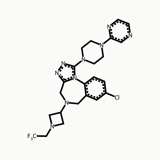 FC(F)(F)CN1CC(N2Cc3cc(Cl)ccc3-n3c(nnc3N3CCN(c4cnccn4)CC3)C2)C1